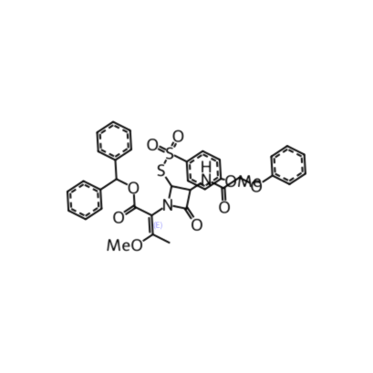 CO/C(C)=C(\C(=O)OC(c1ccccc1)c1ccccc1)N1C(=O)C(NC(=O)COc2ccccc2)C1SS(=O)(=O)c1ccc(OC)cc1